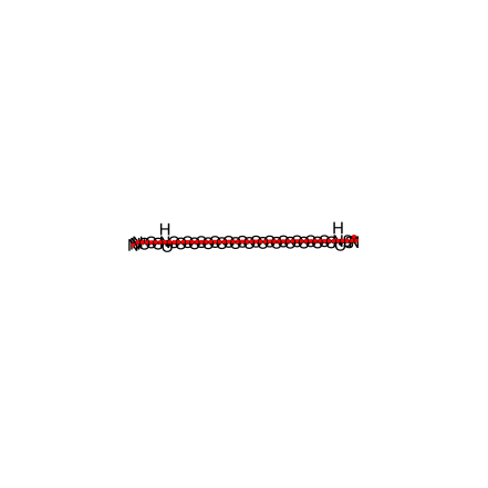 [N-]=[N+]=NCCOCCOCCOCCNC(=O)CCOCCOCCOCCOCCOCCOCCOCCOCCOCCOCCOCCOCCOCCOCCOCCOCCOCCOCCOCCOCCOCCOCCOCCOCCNC(=O)CCSSc1ccccn1